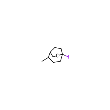 CC1CCC2(I)CCC1CC2